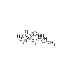 Cc1cnc(C(=O)Nc2ccnc(C3(C)CC(=O)N(C)C(N)=N3)c2)cn1